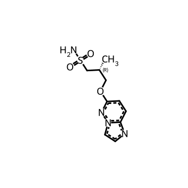 C[C@H](COc1ccc2nccn2n1)CS(N)(=O)=O